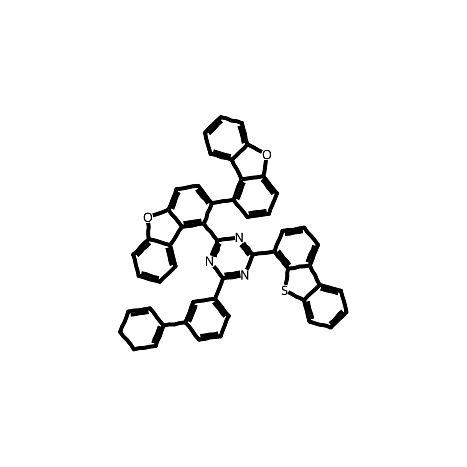 C1=CC(c2cccc(-c3nc(-c4cccc5c4sc4ccccc45)nc(-c4c(-c5cccc6oc7ccccc7c56)ccc5oc6ccccc6c45)n3)c2)=CCC1